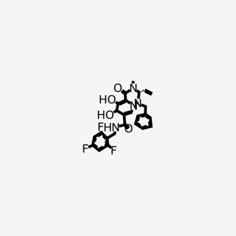 C=C[C@H]1N(C)C(=O)C2=C(O)C(O)C(C(=O)NCc3c(F)cc(F)cc3F)=CN2N1Cc1ccccc1